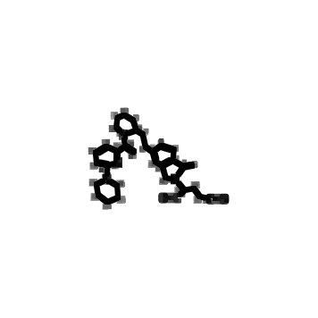 C=C1c2ccc(CCC3CCCCN3C(=C)c3cccc(N4CCCCC4)n3)cc2CN1C(C=O)CCC=O